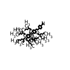 CCCCC(CC)COc1cc(/N=N/c2cc(OCC(CC)CCCC)c(N(CC(CC)CCCC)CC(CC)CCCC)cc2NC(=O)C(CC)CCCC)c(OCC(CC)CCCC)cc1/C=C/c1ccc(C#N)cc1